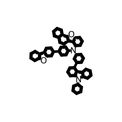 c1ccc(-n2c3ccccc3c3c(-c4cccc(N(c5ccc(-c6ccc7c(c6)oc6ccccc67)cc5)c5cccc6oc7c8ccccc8ccc7c56)c4)cccc32)cc1